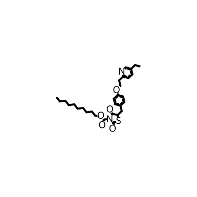 CCCCCCCCCCOC(=O)N1C(=O)SC(Cc2ccc(OCCc3ccc(CC)cn3)cc2)C1=O